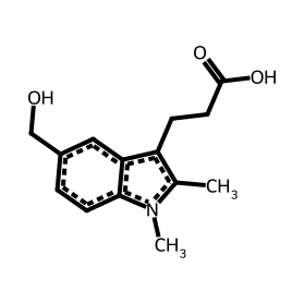 Cc1c(CCC(=O)O)c2cc(CO)ccc2n1C